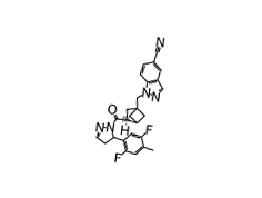 Cc1cc(F)c(C2CC=NN2C(=O)[C@H]2CC3(Cn4ncc5cc(C#N)ccc54)CC2C3)cc1F